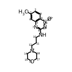 Cc1ccc2c(c1)nc(NCCCN1CCOCC1)n[n+]2[O-]